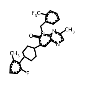 Cc1cnc2cc(C3CCC(c4c(C)cccc4F)CC3)c(=O)n(Cc3ccccc3C(F)(F)F)c2n1